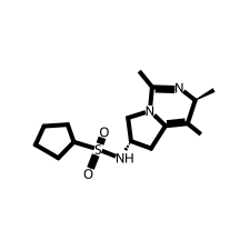 CC1=N[C@@H](C)C(C)=C2C[C@H](NS(=O)(=O)C3CCCC3)CN12